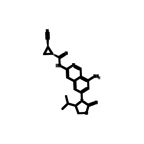 CC(C)C1COC(=O)N1c1cc(N)c2cnc(NC(=O)[C@@H]3C[C@H]3C#N)cc2c1